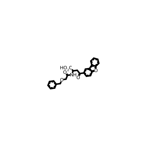 O=C(COCc1ccccc1)NC(CC(=O)c1ccc2oc3ccccc3c2c1)C(=O)O